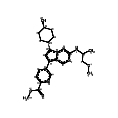 COCC(C)Nc1ncc2c(-c3ccc(C(=O)OC)nc3)cc([C@H]3CC[C@H](O)CC3)n2n1